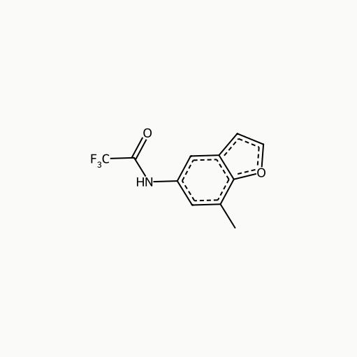 Cc1cc(NC(=O)C(F)(F)F)cc2ccoc12